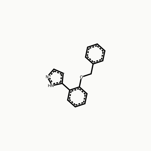 [c]1cn[nH]c1-c1ccccc1OCc1ccccc1